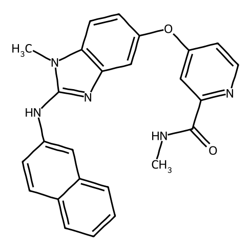 CNC(=O)c1cc(Oc2ccc3c(c2)nc(Nc2ccc4ccccc4c2)n3C)ccn1